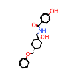 O=C(NC[C@]1(O)CC[C@@H](COc2ccccc2)CC1)c1ccc(O)cc1